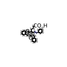 O=C(O)CCCc1c(/C=C/c2ccccc2)n(Cc2ccccc2)c(=O)n(Cc2ccccc2)c1=O